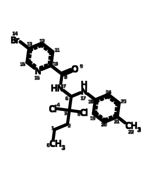 CCCC(Cl)(Cl)C(NC(=O)c1ccc(Br)cn1)Nc1ccc(C)cc1